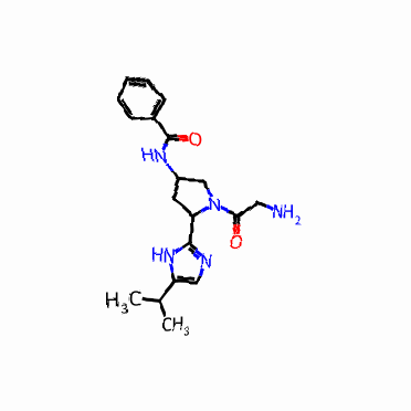 CC(C)c1cnc(C2CC(NC(=O)c3ccccc3)CN2C(=O)CN)[nH]1